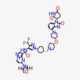 Cn1c(=O)n(C2CCC(=O)NC2=O)c2cccc(N3CCC(OC4CCN(C[C@H]5CC[C@H](n6cc(NC(=O)c7cnn8ccc(N9C[C@@H]%10C[C@H]9CO%10)nc78)c(C(F)F)n6)CC5)CC4)CC3)c21